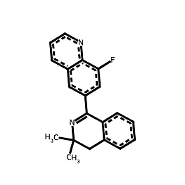 CC1(C)Cc2ccccc2C(c2cc(F)c3ncccc3c2)=N1